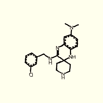 CN(C)c1ccc2c(c1)N=C(NCc1cccc(Cl)c1)C1(CCNCC1)N2